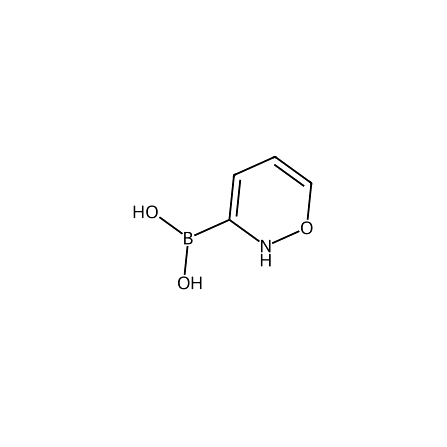 OB(O)C1=CC=CON1